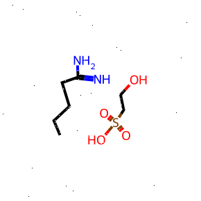 CCCCC(=N)N.O=S(=O)(O)CCO